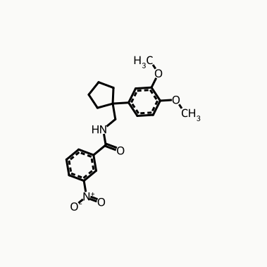 COc1ccc(C2(CNC(=O)c3cccc([N+](=O)[O-])c3)CCCC2)cc1OC